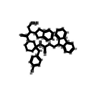 O=C(O)CC(C(=O)N1CCCC(Cc2ccc(Cl)cc2)(NC(=O)OCC2c3ccccc3-c3ccccc32)C1)C1Cc2ccccc2C1